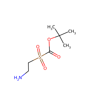 CC(C)(C)OC(=O)S(=O)(=O)CCN